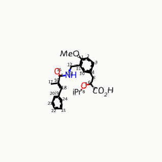 COc1ccc(CC(OC(C)C)C(=O)O)cc1CNC(=O)C(C)=Cc1ccccc1